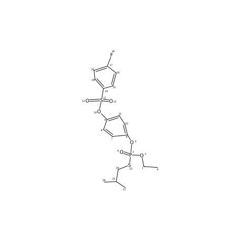 CCOP(=O)(Oc1ccc(OS(=O)(=O)c2ccc(F)cc2)cc1)SCC(C)C